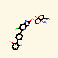 N[C@]12OC[C@@H](Oc3nc4nc(-c5ccc(-c6c(O)cccc6F)cc5)c(Cl)cc4[nH]3)[C@H]1OCC2N=O